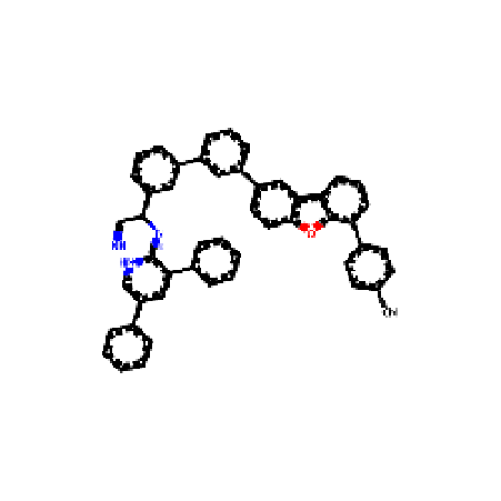 N#Cc1ccc(-c2cccc3c2oc2ccc(-c4cccc(-c5cccc(C(C=N)/N=c6\[nH]cc(-c7ccccc7)cc6-c6ccccc6)c5)c4)cc23)cc1